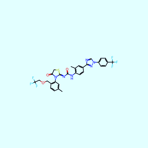 Cc1ccc(COCC(F)(F)F)c(N2C(=O)CS/C2=N\C(=O)Nc2ccc(-c3ncn(-c4ccc(C(F)(F)F)cc4)n3)cc2C)c1